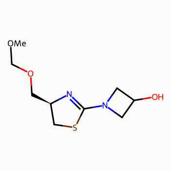 COCOC[C@@H]1CSC(N2CC(O)C2)=N1